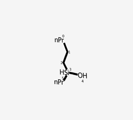 CCCCC[SiH](O)CCC